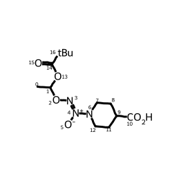 CC(O/N=[N+](\[O-])N1CCC(C(=O)O)CC1)OC(=O)C(C)(C)C